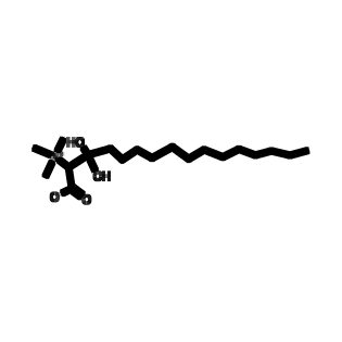 CCCCCCCCCCCCCC(O)(O)C(C(=O)[O-])[N+](C)(C)C